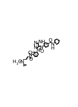 CN(C(=O)C=CCN(C)C1CC1)c1cccc(-n2c(=O)n(-c3ccc(C(=O)Nc4ccccc4)cc3)c3c(N)ncnc32)c1